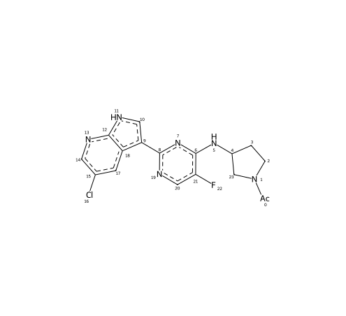 CC(=O)N1CCC(Nc2nc(-c3c[nH]c4ncc(Cl)cc34)ncc2F)C1